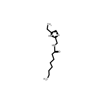 CCCCCCCC(=O)NCc1ncc(CC)[nH]1